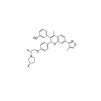 CC1=C(c2cccc(O)c2)C(c2ccc(OC[C@H](C)N3CC[C@@H](C)C3)cc2)Oc2cc(-c3nocc3C)ccc21